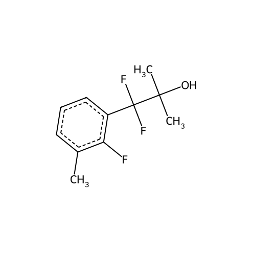 Cc1cccc(C(F)(F)C(C)(C)O)c1F